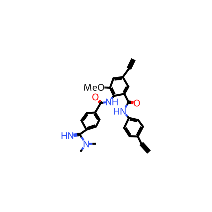 C#Cc1ccc(NC(=O)c2cc(C#C)cc(OC)c2NC(=O)c2ccc(C(=N)N(C)C)cc2)cc1